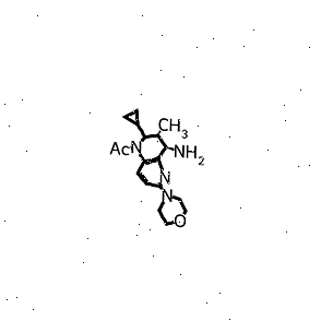 CC(=O)N1c2ccc(N3CCOCC3)nc2[C@H](N)[C@@H](C)C1C1CC1